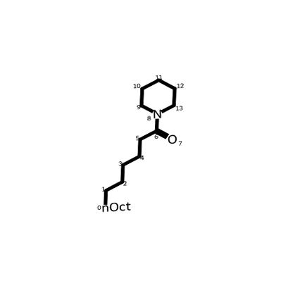 CCCCCCCCCCCCCC(=O)N1CCCCC1